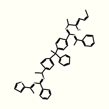 C/C=C\C=C(/CCC)C(C)/N=C(\N=C(/C)c1ccccc1)c1ccc(C(C)(c2ccccc2)c2ccc(C(C)/N=C(\N=C(/C)c3cccs3)c3ccccc3)cc2)cc1